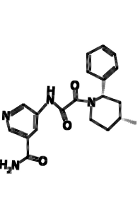 C[C@@H]1CCN(C(=O)C(=O)Nc2cncc(C(N)=O)c2)[C@H](c2ccccc2)C1